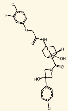 O=C(COc1ccc(Cl)c(F)c1)NC12CCC(C(=O)N3CC(O)(c4ccc(Cl)cc4)C3)(CC1)[C@@H](O)C2